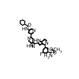 CS(=O)(=O)C(N)c1cc(F)cc(-c2nccc3[nH]c(-c4n[nH]c5cnc(-c6cncc(NC(=O)C7CCCCC7)c6)cc45)cc23)c1